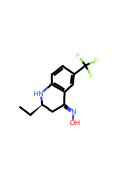 CC[C@@H]1CC(=NO)c2cc(C(F)(F)F)ccc2N1